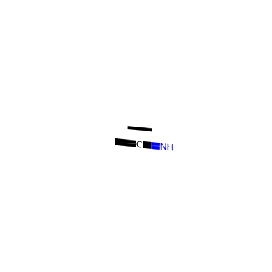 C=C=N.CC